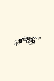 CN(C)C(=O)Oc1ccc(C[C@H](Nc2nc(O)nc(N[C@H](CC(=O)O)c3ccccc3)n2)C(=O)O)cc1